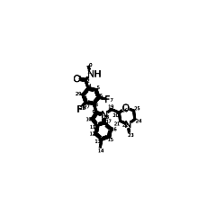 CNC(=O)c1cc(F)c(-c2cc3cc(C)ccc3n2CC2CN(C)CCO2)c(F)c1